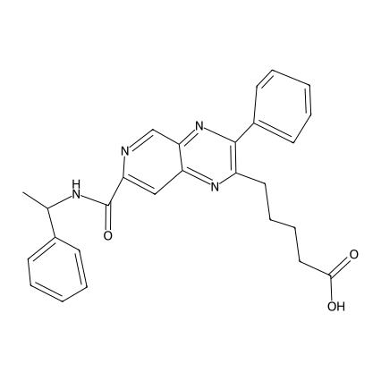 CC(NC(=O)c1cc2nc(CCCCC(=O)O)c(-c3ccccc3)nc2cn1)c1ccccc1